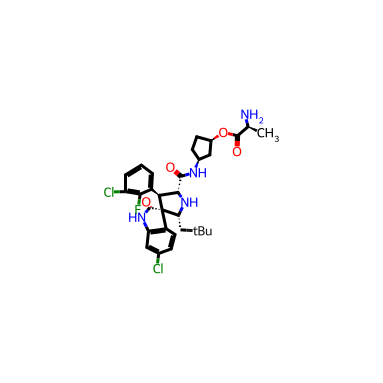 C[C@H](N)C(=O)O[C@@H]1CC[C@H](NC(=O)[C@@H]2N[C@H](CC(C)(C)C)[C@]3(C(=O)Nc4cc(Cl)ccc43)[C@H]2c2cccc(Cl)c2F)C1